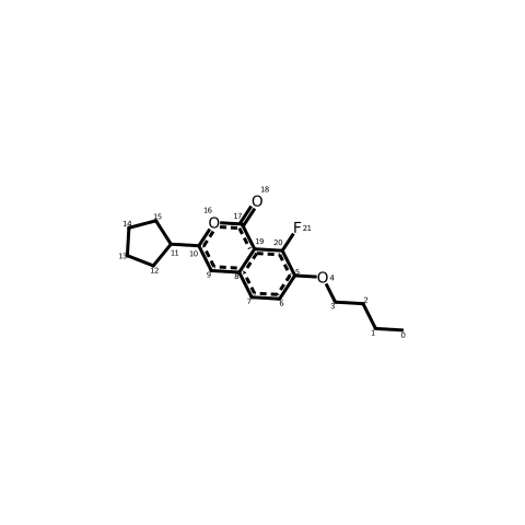 CCCCOc1ccc2cc(C3CCCC3)oc(=O)c2c1F